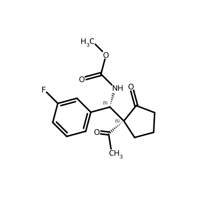 COC(=O)N[C@@H](c1cccc(F)c1)[C@]1(C(C)=O)CCCC1=O